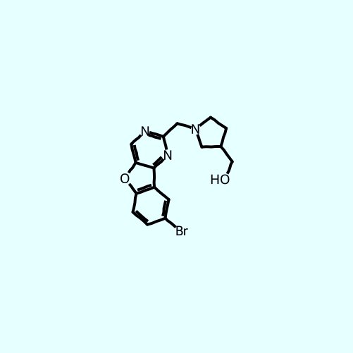 OCC1CCN(Cc2ncc3oc4ccc(Br)cc4c3n2)C1